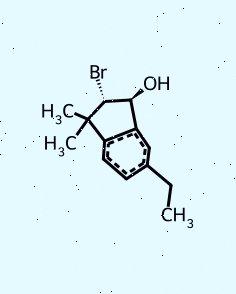 CCc1ccc2c(c1)[C@H](O)[C@@H](Br)C2(C)C